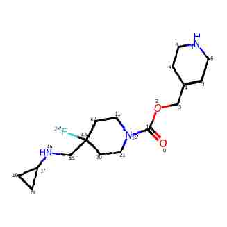 O=C(OCC1CCNCC1)N1CCC(F)(CNC2CC2)CC1